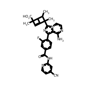 CC1C2C(=CC2(C)C(=O)O)C1(C)c1nc(-c2ccc(C(=O)Nc3cc(C#N)ccn3)cc2F)c2c(N)nccn12